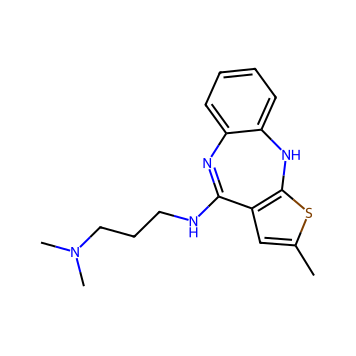 Cc1cc2c(s1)Nc1ccccc1N=C2NCCCN(C)C